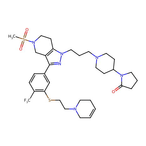 CS(=O)(=O)N1CCc2c(c(-c3ccc(C(F)(F)F)c(SCCN4CC=CCC4)c3)nn2CCCN2CCC(N3CCCC3=O)CC2)C1